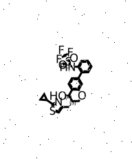 O=S(=O)(Nc1ccccc1-c1ccc2c(c1)OC[C@H](Cc1csc(C3CC3)n1)[C@H]2O)C(F)(F)F